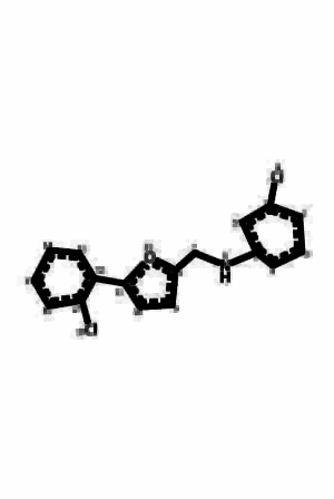 Clc1cccc(NCc2ccc(-c3ccccc3Cl)o2)c1